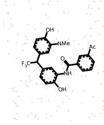 CNc1cc(C(c2ccc(O)c(NC(=O)c3cccc(C(C)=O)c3)c2)C(F)(F)F)ccc1O